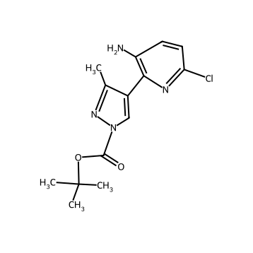 Cc1nn(C(=O)OC(C)(C)C)cc1-c1nc(Cl)ccc1N